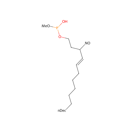 CCCCCCCCCCCCCCC/C=C/C(CCOP(O)OC)N=O